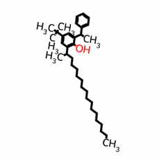 CCCCCCCCCCCCCCCCC(C)c1cc(C(C)(C)C)cc(C(C)c2ccccc2)c1O